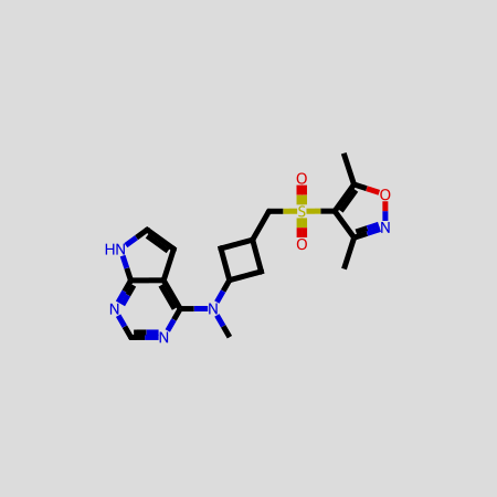 Cc1noc(C)c1S(=O)(=O)CC1CC(N(C)c2ncnc3[nH]ccc23)C1